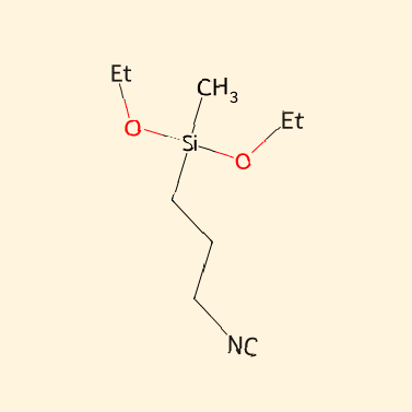 [C-]#[N+]CCC[Si](C)(OCC)OCC